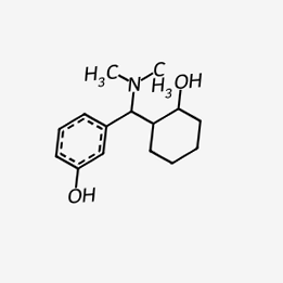 CN(C)C(c1cccc(O)c1)C1CCCCC1O